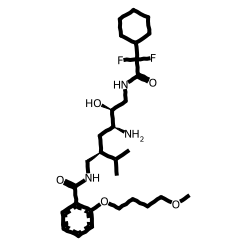 COCCCCOc1ccccc1C(=O)NC[C@@H](C[C@H](N)[C@@H](O)CNC(=O)C(F)(F)C1CCCCC1)C(C)C